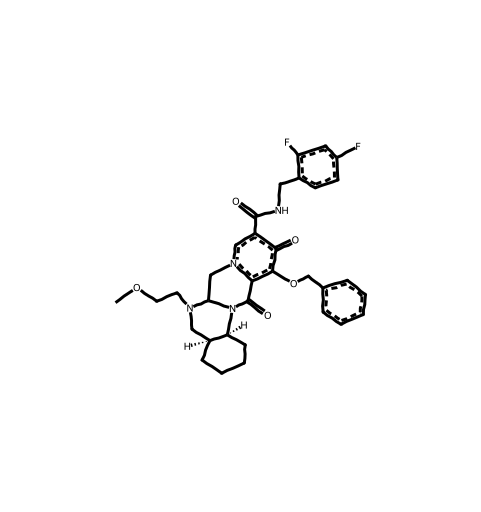 COCCN1C[C@@H]2CCCC[C@@H]2N2C(=O)c3c(OCc4ccccc4)c(=O)c(C(=O)NCc4ccc(F)cc4F)cn3CC12